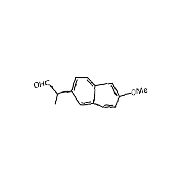 COc1ccc2cc(C(C)C=O)ccc2c1